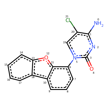 Nc1nc(=O)n(-c2cccc3c2oc2ccccc23)cc1Cl